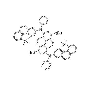 CC(C)(C)c1cc(N(c2ccccc2)c2cc3c4c(ccc5cccc(c54)C3(C)C)c2)c2ccc3c(C(C)(C)C)cc(N(c4ccccc4)c4cc5c6c(ccc7cccc(c76)C5(C)C)c4)c4ccc1c2c43